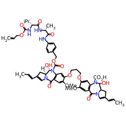 C=CCOC(=O)N[C@@H](C(=O)N[C@H](C)C(=O)Nc1ccc(COC(=O)N2c3cc(OCCCOc4cc5c(cc4OC)C(=O)N4C=C(C=CC)CC4C(O)N5C(=O)O)c(OC)cc3C(=O)N3C=C(C=CC)C[C@H]3[C@@H]2O)cc1)C(C)C